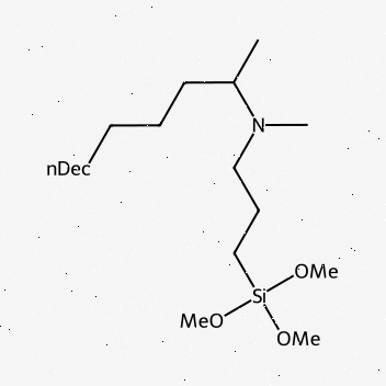 CCCCCCCCCCCCCC(C)N(C)CCC[Si](OC)(OC)OC